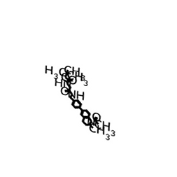 CC(=O)N1c2ccc(-c3ccc(CNC(=O)CNC(=O)OC(C)(C)C)cc3)cc2CCC1C